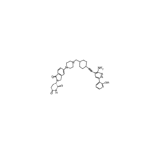 Nc1nnc(-c2ccccc2O)cc1C#CC1CCC(CN2CCN(c3ccc4c(c3)CN(C3CCC(=O)NC3=O)C4=O)CC2)CC1